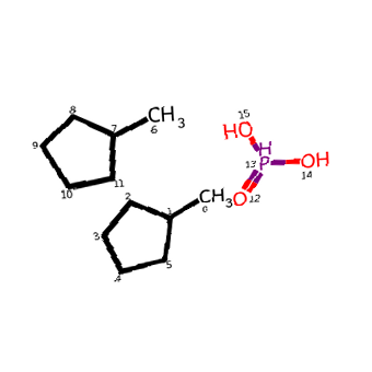 CC1CCCC1.CC1CCCC1.O=[PH](O)O